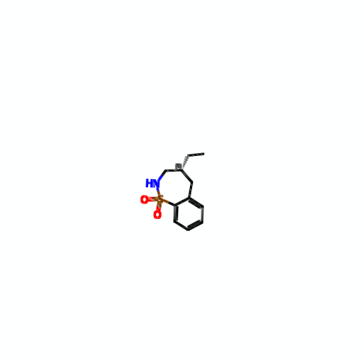 CC[C@H]1CNS(=O)(=O)c2ccccc2C1